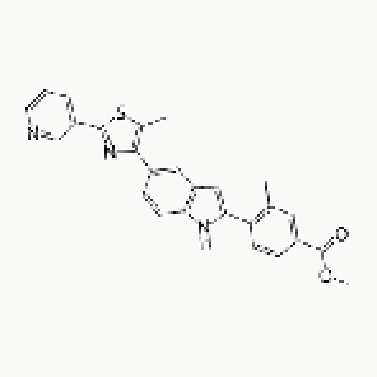 COC(=O)c1ccc(-c2cc3cc(-c4nc(-c5cccnc5)sc4C)ccc3[nH]2)c(C)c1